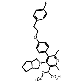 Cc1nc(C)c([C@H](OC(C)(C)C)C(=O)O)c(N2CC3CCCC3C2)c1-c1ccc(OCCc2ccc(F)cc2)cc1